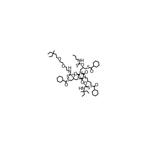 CCCNC(=S)OC(CSC(=O)C1CCCCC1)Cn1c(=O)n(CC(CSC(=O)C2CCCCC2)OC(=S)NCCOCCOCCC(C)(CC)CC)c(=O)n(CC(CSC(=O)C2CCCCC2)OC(=S)NC(C)(CC)CC)c1=O